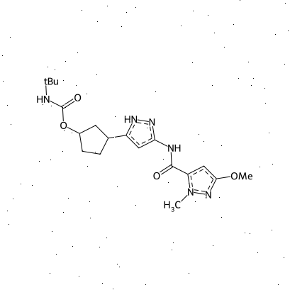 COc1cc(C(=O)Nc2cc(C3CCC(OC(=O)NC(C)(C)C)C3)[nH]n2)n(C)n1